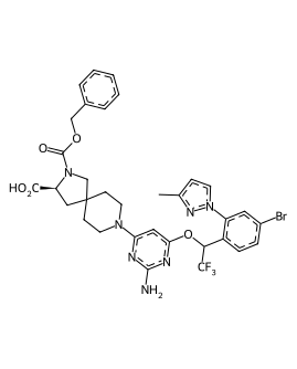 Cc1ccn(-c2cc(Br)ccc2C(Oc2cc(N3CCC4(CC3)C[C@@H](C(=O)O)N(C(=O)OCc3ccccc3)C4)nc(N)n2)C(F)(F)F)n1